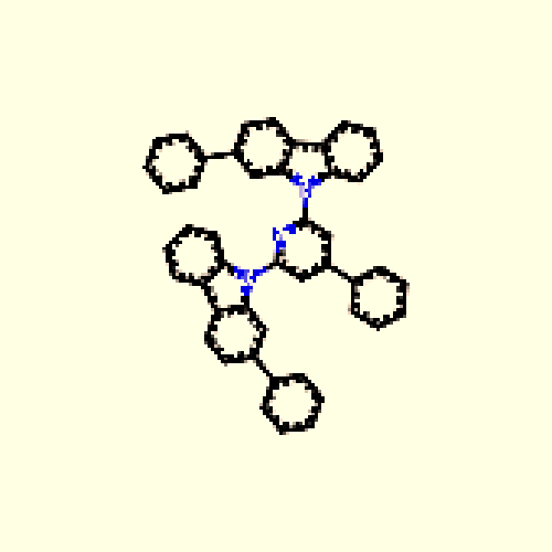 c1ccc(-c2cc(-n3c4ccccc4c4ccc(-c5ccccc5)cc43)nc(-n3c4ccccc4c4ccc(-c5ccccc5)cc43)c2)cc1